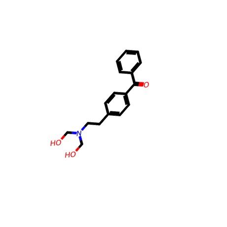 O=C(c1ccccc1)c1ccc(CCN(CO)CO)cc1